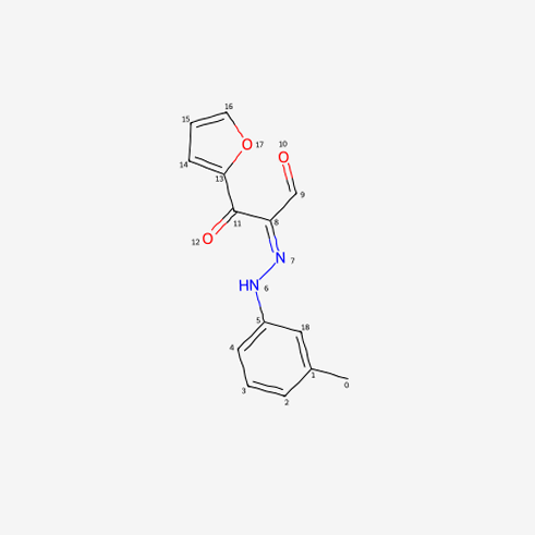 Cc1cccc(N/N=C(/C=O)C(=O)c2ccco2)c1